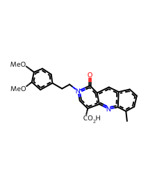 COc1ccc(CCn2cc(C(=O)O)c3nc4c(C)cccc4cc3c2=O)cc1OC